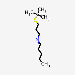 CCCCC=NCCCS[Si](C)(C)C